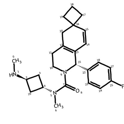 CN[C@H]1C[C@H](N(C)C(=O)N2CCC3=C(C=CC4(CCC4)C3)[C@@H]2c2ccc(F)cc2)C1